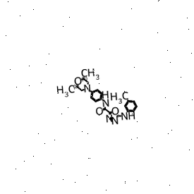 Cc1cccc(Nc2nnc(C(=O)Nc3ccc(N4C[C@@H](C)O[C@@H](C)C4)cc3)o2)c1